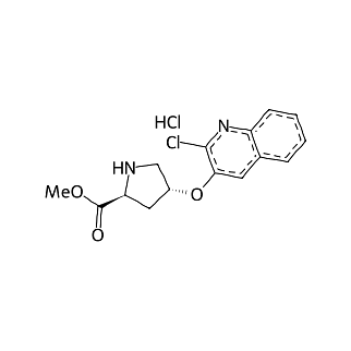 COC(=O)[C@@H]1C[C@@H](Oc2cc3ccccc3nc2Cl)CN1.Cl